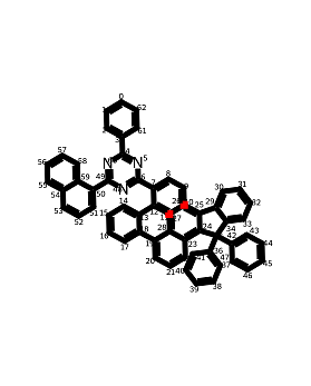 c1ccc(-c2nc(-c3ccccc3-c3ccccc3-c3cccc4c5c(ccc34)-c3ccccc3C5(c3ccccc3)c3ccccc3)nc(-c3cccc4ccccc34)n2)cc1